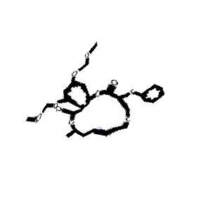 COCOc1cc2c(c(OCOC)c1)C(=O)OC(C)C/C=C/CCCC(Sc1ccccc1)C(=O)C2